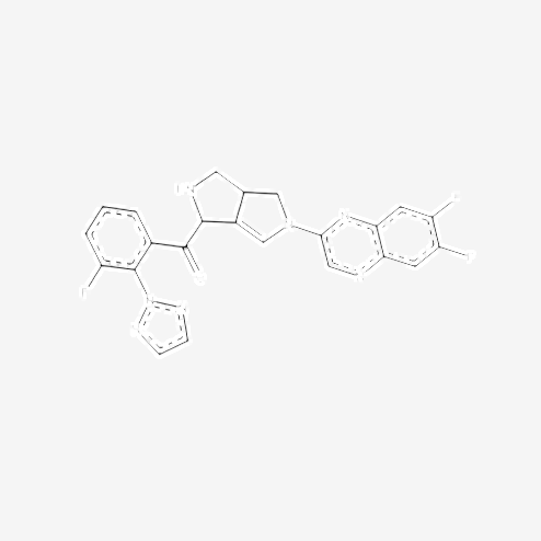 O=C(c1cccc(F)c1-n1nccn1)C1NCC2CN(c3cnc4cc(F)c(F)cc4n3)C=C21